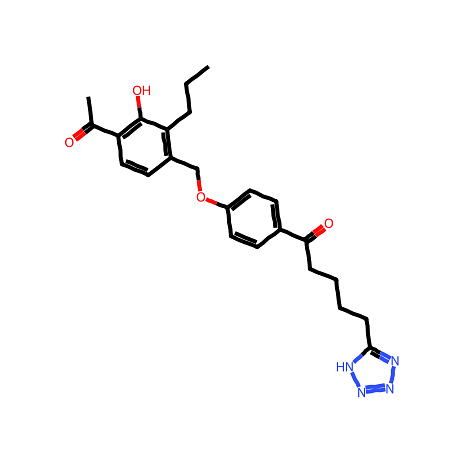 CCCc1c(COc2ccc(C(=O)CCCCc3nnn[nH]3)cc2)ccc(C(C)=O)c1O